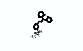 CS(=O)(=O)Nc1cccc(CC=C2c3ccccc3Sc3ccccc32)c1